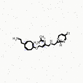 CCC1=CCN2C(CNCC(=C/CO/C3=C/C/C=C(CCN)\C=C/C3)/N=C(/C)N)[C@H]2N=C1